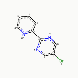 Brc1cnc(-c2ccccn2)nc1